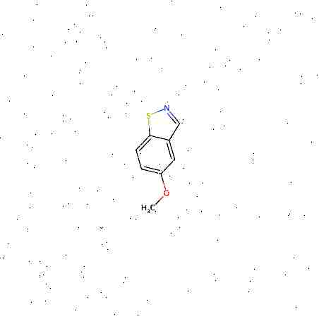 COc1ccc2sn[c]c2c1